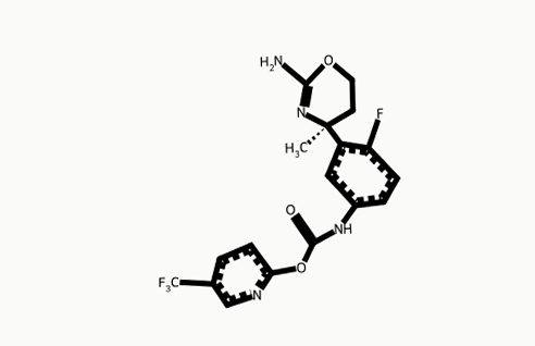 C[C@@]1(c2cc(NC(=O)Oc3ccc(C(F)(F)F)cn3)ccc2F)CCOC(N)=N1